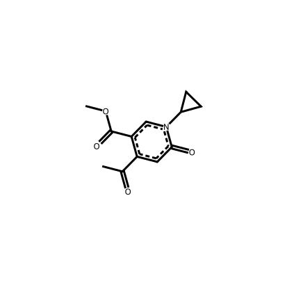 COC(=O)c1cn(C2CC2)c(=O)cc1C(C)=O